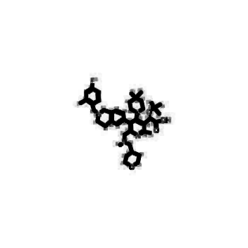 Cc1cc(F)ccc1CN1CCc2cc(-c3c(CN(C)CC4CCOCC4)nc(C)c([C@H](OC(C)(C)C)C(=O)O)c3N3CCC(C)(C)CC3)ccc2C1